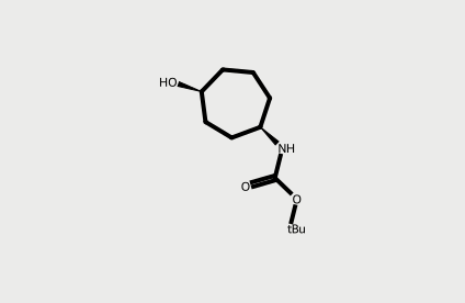 CC(C)(C)OC(=O)N[C@@H]1CCC[C@H](O)CC1